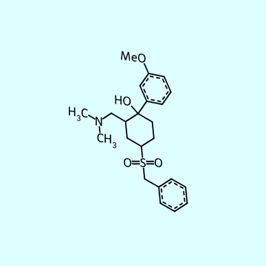 COc1cccc(C2(O)CCC(S(=O)(=O)Cc3ccccc3)CC2CN(C)C)c1